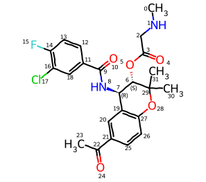 CNCC(=O)O[C@H]1[C@H](NC(=O)c2ccc(F)c(Cl)c2)c2cc(C(C)=O)ccc2OC1(C)C